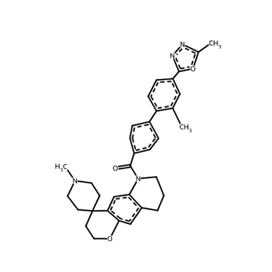 Cc1nnc(-c2ccc(-c3ccc(C(=O)N4CCCc5cc6c(cc54)C4(CCO6)CCN(C)CC4)cc3)c(C)c2)o1